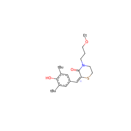 CCOCCCN1CCS/C(=C/c2cc(C(C)(C)C)c(O)c(C(C)(C)C)c2)C1=O